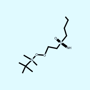 CCCCS(=N)(=O)CCOO[Si](C)(C)C(C)(C)C